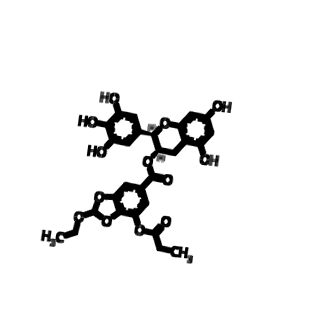 CCOC1Oc2cc(C(=O)O[C@@H]3Cc4c(O)cc(O)cc4O[C@@H]3c3cc(O)c(O)c(O)c3)cc(OC(=O)CC)c2O1